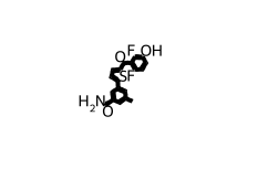 Cc1cc(C(N)=O)cc(-c2ccc(C(=O)c3c(F)ccc(O)c3F)s2)c1